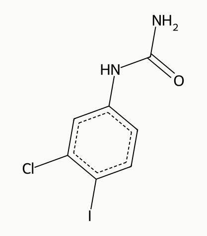 NC(=O)Nc1ccc(I)c(Cl)c1